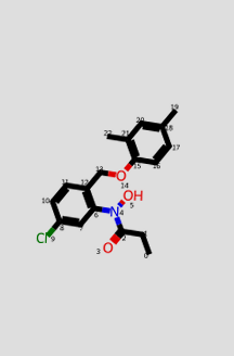 CCC(=O)N(O)c1cc(Cl)ccc1COc1ccc(C)cc1C